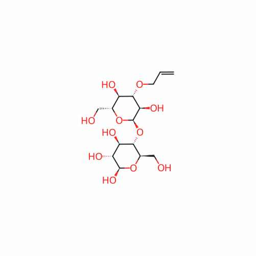 C=CCO[C@@H]1[C@@H](O)[C@@H](O[C@H]2[C@H](O)[C@@H](O)[C@H](O)O[C@@H]2CO)O[C@H](CO)[C@H]1O